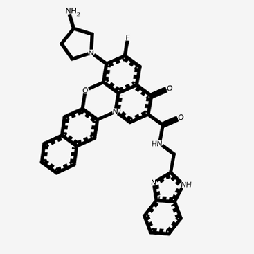 NC1CCN(c2c(F)cc3c(=O)c(C(=O)NCc4nc5ccccc5[nH]4)cn4c3c2Oc2cc3ccccc3cc2-4)C1